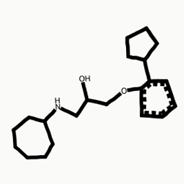 OC(CNC1CCCCCC1)COc1ccccc1C1CCCC1